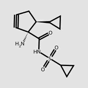 N[C@]1(C(=O)NS(=O)(=O)C2CC2)C#CC[C@H]1C1CC1